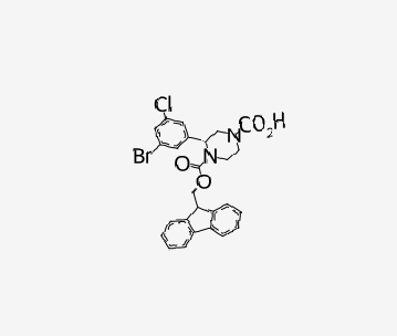 O=C(O)N1CCN(C(=O)OCC2c3ccccc3-c3ccccc32)C(c2cc(Cl)cc(Br)c2)C1